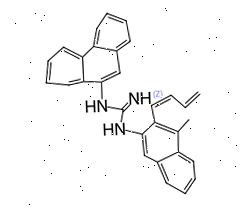 C=C/C=C\c1c(NC(=N)Nc2cc3ccccc3c3ccccc23)cc2ccccc2c1C